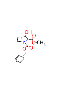 COC(=O)C1C(O)C2CCC2N1C(=O)OCc1ccccc1